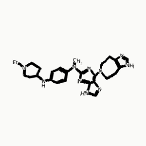 CCN1CCC(Nc2ccc(N(C)c3nc(N4CCc5nc[nH]c5CC4)c4nc[nH]c4n3)cc2)CC1